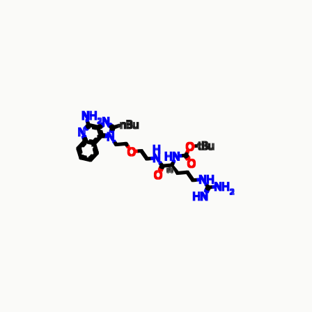 CCCCc1nc2c(N)nc3ccccc3c2n1CCOCCNC(=O)[C@H](CCCNC(=N)N)NC(=O)OC(C)(C)C